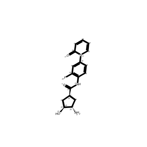 N[C@H]1C[C@H](C(=O)Nc2ccc(-n3ccccc3=O)cc2F)C[C@@H]1O